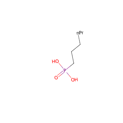 C[CH]CCCCP(=O)(O)O